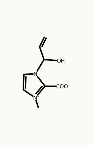 C=CC(O)n1cc[n+](C)c1C(=O)[O-]